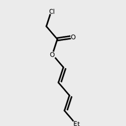 CCC=CC=COC(=O)CCl